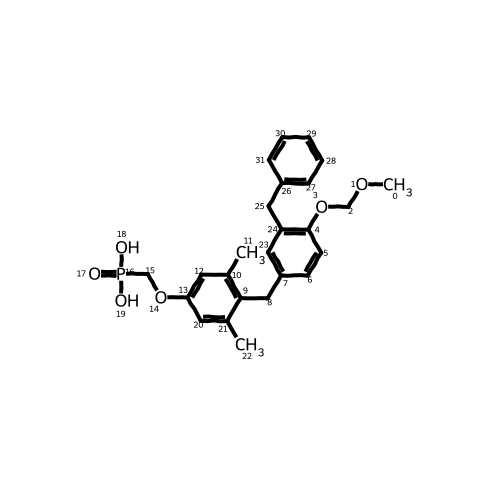 COCOc1ccc(Cc2c(C)cc(OCP(=O)(O)O)cc2C)cc1Cc1ccccc1